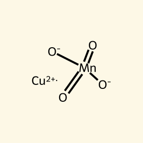 [Cu+2].[O]=[Mn](=[O])([O-])[O-]